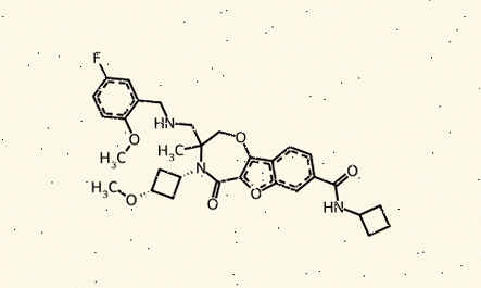 COc1ccc(F)cc1CNCC1(C)COc2c(oc3cc(C(=O)NC4CCC4)ccc23)C(=O)N1[C@H]1C[C@@H](OC)C1